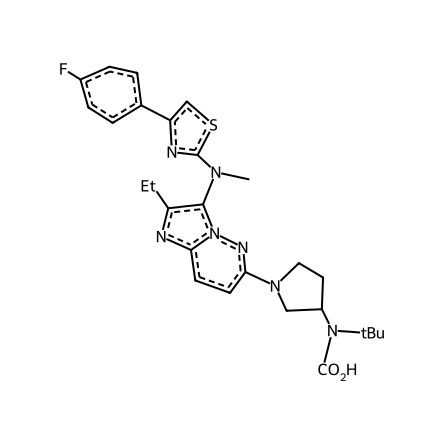 CCc1nc2ccc(N3CCC(N(C(=O)O)C(C)(C)C)C3)nn2c1N(C)c1nc(-c2ccc(F)cc2)cs1